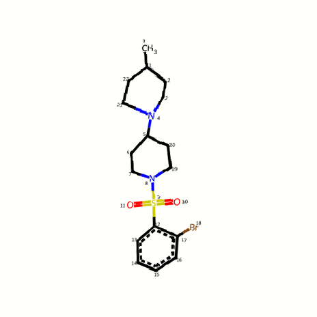 CC1CCN(C2CCN(S(=O)(=O)c3ccccc3Br)CC2)CC1